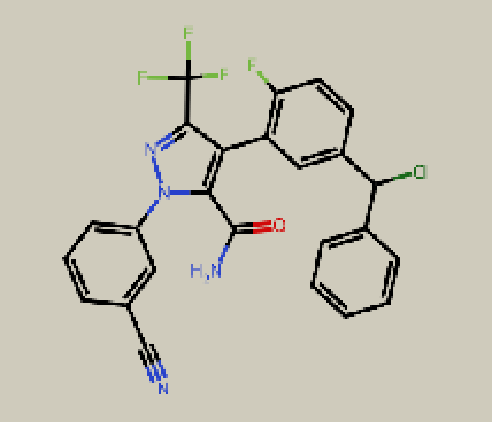 N#Cc1cccc(-n2nc(C(F)(F)F)c(-c3cc(C(Cl)c4ccccc4)ccc3F)c2C(N)=O)c1